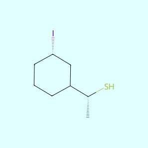 C[C@@H](S)C1CCC[C@H](I)C1